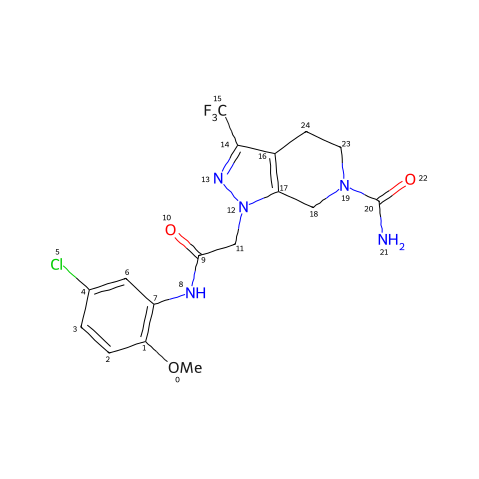 COc1ccc(Cl)cc1NC(=O)Cn1nc(C(F)(F)F)c2c1CN(C(N)=O)CC2